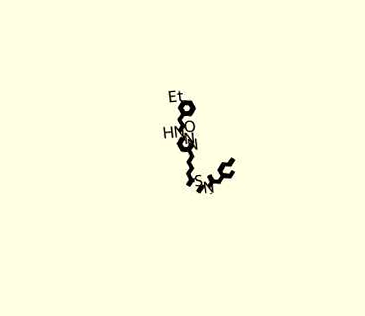 C=C/C=C\C(=C/C)CC(=C)N(C)C(=C)SC(=C)CCCCc1ccc(NC(=O)Cc2cccc(CC)c2)nn1